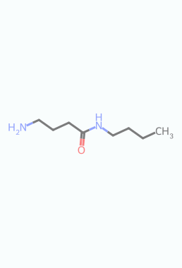 CCCCNC(=O)CCCN